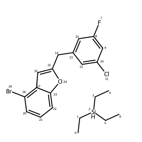 CC[SiH](CC)CC.Fc1cc(Cl)cc(Cc2cc3c(Br)cccc3o2)c1